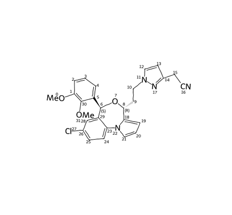 COc1cccc([C@H]2O[C@H](CCn3ccc(CC#N)n3)c3cccn3-c3ccc(Cl)cc32)c1OC